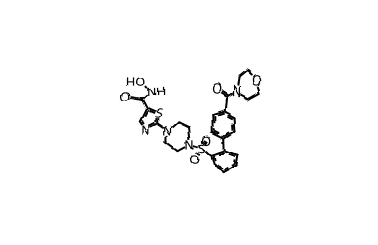 O=C(NO)c1cnc(N2CCN(S(=O)(=O)c3ccccc3-c3ccc(C(=O)N4CCOCC4)cc3)CC2)s1